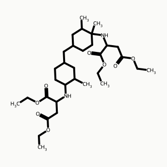 CCOC(=O)CC(NC1CCC(CC2CCC(C)(NC(CC(=O)OCC)C(=O)OCC)C(C)C2)CC1C)C(=O)OCC